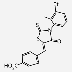 CCc1cccc(N2C(=O)/C(=C/c3ccc(C(=O)O)cc3)SC2=S)c1C